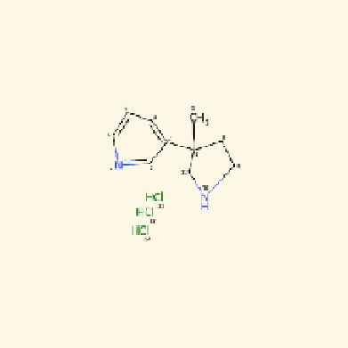 CC1(c2cccnc2)CCNC1.Cl.Cl.Cl